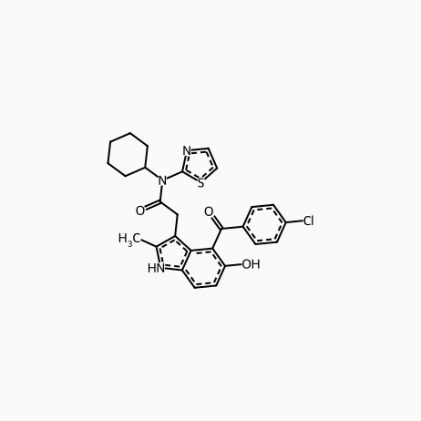 Cc1[nH]c2ccc(O)c(C(=O)c3ccc(Cl)cc3)c2c1CC(=O)N(c1nccs1)C1CCCCC1